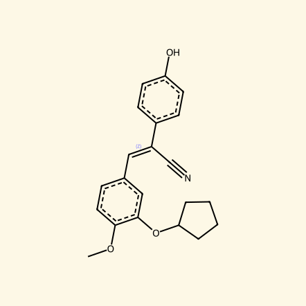 COc1ccc(/C=C(\C#N)c2ccc(O)cc2)cc1OC1CCCC1